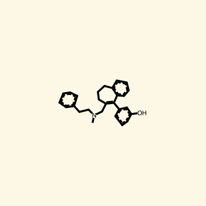 CN(CCc1ccccc1)CC1=C(c2cccc(O)c2)c2ccccc2CCC1